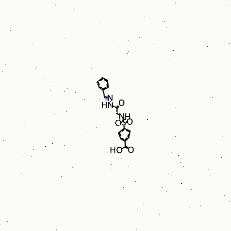 O=C(CNS(=O)(=O)c1ccc(C(=O)O)cc1)N/N=C/c1ccccc1